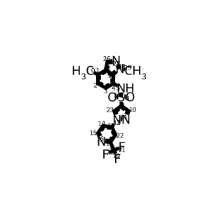 Cc1ccc(NS(=O)(=O)c2cnn(-c3ccnc(C(F)(F)F)c3)c2)c2c1cnn2C